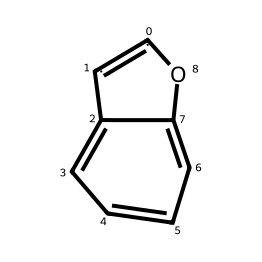 [c]1[c]c2ccccc2o1